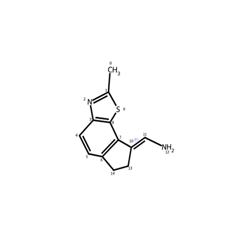 Cc1nc2ccc3c(c2s1)/C(=C/N)CC3